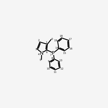 Cc1ccn(C)c1P(c1ccccc1)c1ccccc1